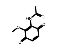 COC1=C(NC(C)=O)C(=O)C=CC1=O